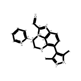 Cc1noc(C)c1-c1ccc2nc(C=O)n3c2c1OC[C@@H]3c1ccccn1